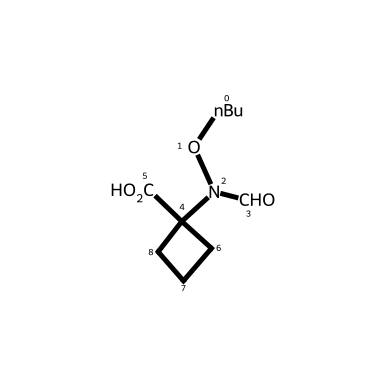 CCCCON(C=O)C1(C(=O)O)CCC1